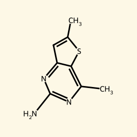 Cc1cc2nc(N)nc(C)c2s1